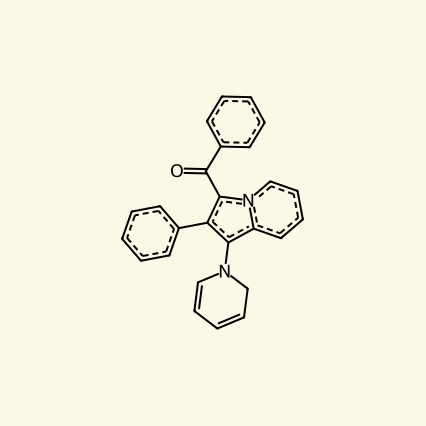 O=C(c1ccccc1)c1c(-c2ccccc2)c(N2C=CC=CC2)c2ccccn12